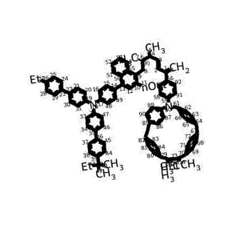 C=C(C=CC(C)[C@H](C)Cc1c(CCCCCCCC)cc(-c2ccc(N(c3ccc(-c4ccc(CC)cc4)cc3)c3ccc(-c4ccc(C(C)(C)CC)cc4)cc3)cc2)c2ccccc12)c1ccc(N2c3ccc(cc3)-c3ccc(cc3)C(C)(C)C(C)(CC)c3ccc(cc3)-c3ccc2cc3)cc1